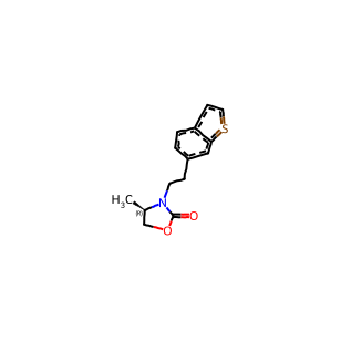 C[C@@H]1COC(=O)N1CCc1ccc2ccsc2c1